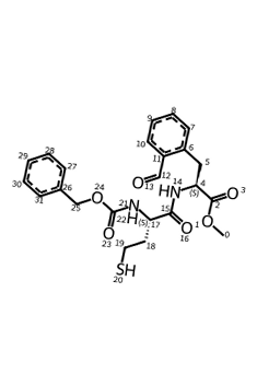 COC(=O)[C@H](Cc1ccccc1C=O)NC(=O)[C@H](CCS)NC(=O)OCc1ccccc1